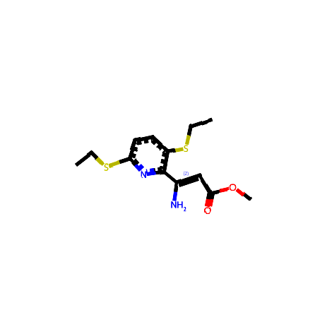 CCSc1ccc(SCC)c(/C(N)=C/C(=O)OC)n1